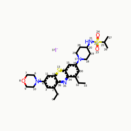 CCc1cc(N2CCOCC2)cc2[s+]c3cc(N4CCC(NS(=O)(=O)C(C)C)CC4)cc(CC)c3nc12.[I-]